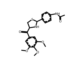 COc1cc(C(=O)C2CSC(c3ccc(NC(C)=O)cc3)N2)cc(OC)c1OC